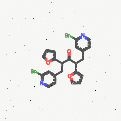 O=C(C(Cc1ccnc(Br)c1)c1ccco1)C(Cc1ccnc(Br)c1)c1ccco1